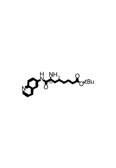 CC(C)(C)OC(=O)CCCCC[C@H](N)C(=O)Nc1ccc2ncccc2c1